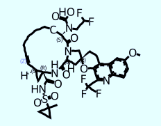 COc1ccc2nc(C(F)(F)F)c3c(c2c1)CC[C@]1(C[C@H]2C(=O)N[C@]4(C(=O)NS(=O)(=O)C5(C)CC5)C[C@H]4/C=C\CCCCC[C@H](N(CC(F)F)C(=O)O)C(=O)N2C1)O3